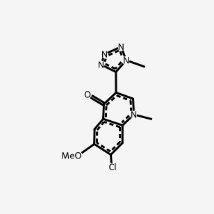 COc1cc2c(=O)c(-c3nnnn3C)cn(C)c2cc1Cl